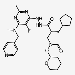 Cc1nc(NNC(=O)[C@@H](CC2CCCC2)CN(C=O)OC2CCCCO2)c(F)c(N(C)Cc2ccncc2)n1